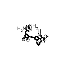 CCOC(=O)C1=CNc2cc(C#Cc3cc(Cc4cnc(N)nc4N)cc(OC)c3OC)ccc2C1C(=O)c1ccco1